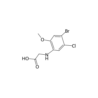 COc1cc(Br)c(Cl)cc1NCC(=O)O